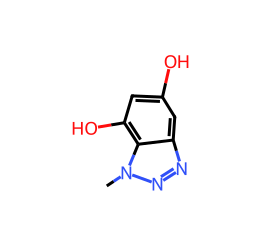 Cn1nnc2cc(O)cc(O)c21